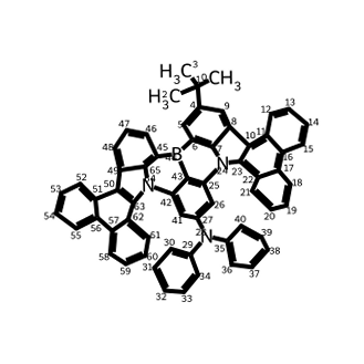 CC(C)(C)c1cc2c3c(c1)c1c4ccccc4c4ccccc4c1n3-c1cc(N(c3ccccc3)c3ccccc3)cc3c1B2c1cccc2c4c5ccccc5c5ccccc5c4n-3c12